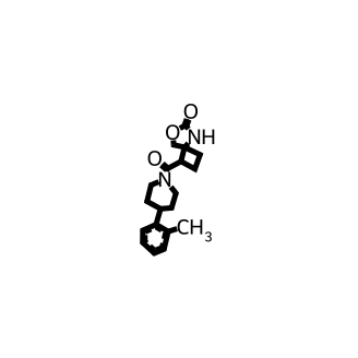 Cc1ccccc1C1CCN(C(=O)C2CCC23COC(=O)N3)CC1